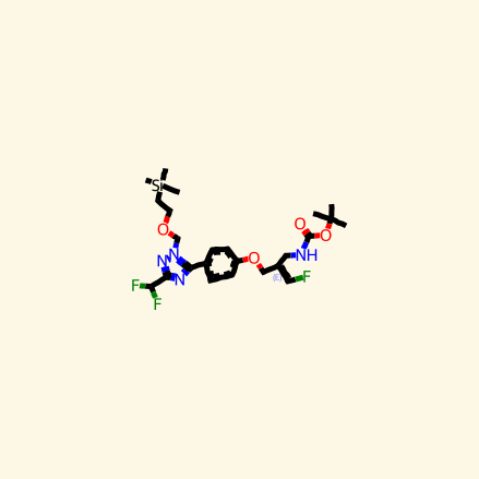 CC(C)(C)OC(=O)NC/C(=C\F)COc1ccc(-c2nc(C(F)F)nn2COCC[Si](C)(C)C)cc1